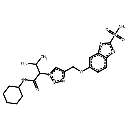 CC(C)C(C(=O)NC1CCCCC1)n1cc(COc2ccc3nc(S(N)(=O)=O)sc3c2)nn1